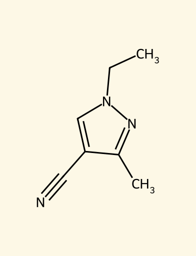 CCn1cc(C#N)c(C)n1